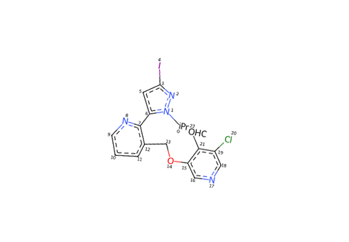 CC(C)n1nc(I)cc1-c1ncccc1COc1cncc(Cl)c1C=O